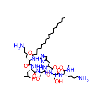 CCCCCCCCCCCCCCCC(=O)N[C@@H](CCCCN)C(=O)N[C@@H](CC(C)C)C(=O)N[C@@H](CO)C(=O)N[C@@H](Cc1cnc[nH]1)C(=O)N[C@@H](CO)C(=O)N[C@@H](CCCCN)C(=O)NC